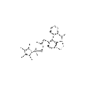 CC1=Cc2c(cc3c(c2-c2ccccc2C(C)C)CCC3)[CH]1[Zr][Si](C)(C)C1C(C)=C(C)C(C)=C1C